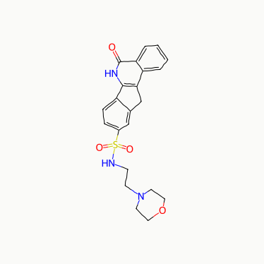 O=c1[nH]c2c(c3ccccc13)Cc1cc(S(=O)(=O)NCCN3CCOCC3)ccc1-2